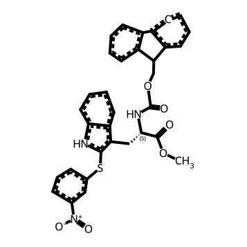 COC(=O)[C@H](Cc1c(Sc2cccc([N+](=O)[O-])c2)[nH]c2ccccc12)NC(=O)OCC1c2ccccc2-c2ccccc21